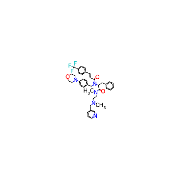 CN(CCN(C)C(=O)C(Cc1ccccc1)N(Cc1ccc(N2CCOCC2)cc1)C(=O)C=Cc1ccc(C(F)(F)F)cc1)Cc1cccnc1